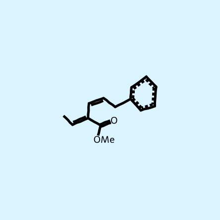 C/C=C(\C=C/Cc1ccccc1)C(=O)OC